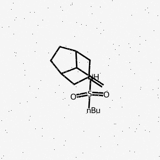 C=C1CC2CCC(C1)C2NS(=O)(=O)CCCC